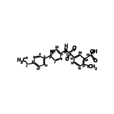 CCc1ccc(-c2ccc(NS(=O)(=O)c3ccc(C)c(C(=O)O)c3)cn2)cc1